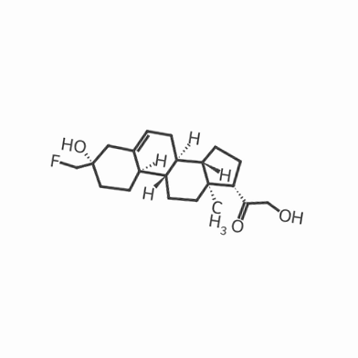 C[C@]12CC[C@H]3[C@@H](CC=C4C[C@](O)(CF)CC[C@@H]43)[C@@H]1CC[C@@H]2C(=O)CO